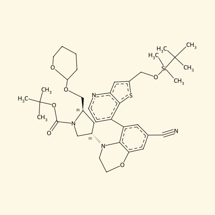 CC(C)(C)OC(=O)N1C[C@@H](N2CCOc3cc(C#N)cc(-c4ccnc5cc(CO[Si](C)(C)C(C)(C)C)sc45)c32)C[C@@H]1COC1CCCCO1